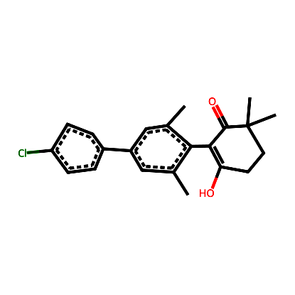 Cc1cc(-c2ccc(Cl)cc2)cc(C)c1C1=C(O)CCC(C)(C)C1=O